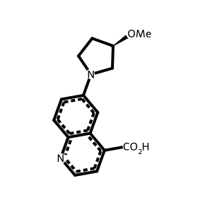 CO[C@@H]1CCN(c2ccc3nccc(C(=O)O)c3c2)C1